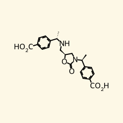 C[C@H](NC[C@H]1CN([C@@H](C)c2ccc(C(=O)O)cc2)C(=O)O1)c1ccc(C(=O)O)cc1